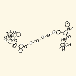 CCN(c1cc(-c2ccc(OCCOCCOCCOCCOCCOc3ccc(-c4csc([C@@H]5CCCN5C(=O)[C@@H](NC(=O)[C@H](C)N(C)C(=O)OC(C)(C)C)C5CCCCC5)n4)c4ccccc34)cc2)cc(C(=O)NCC2=C(C)C=C(C)NC2O)c1C)C1CCOCC1